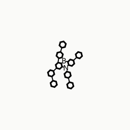 c1ccc(-c2ccc(N3c4ccc(-c5ccccc5)cc4B4c5cc(-c6ccccc6)ccc5-c5cc(-c6cccc(-c7ccccc7)c6)cc3c54)cc2)cc1